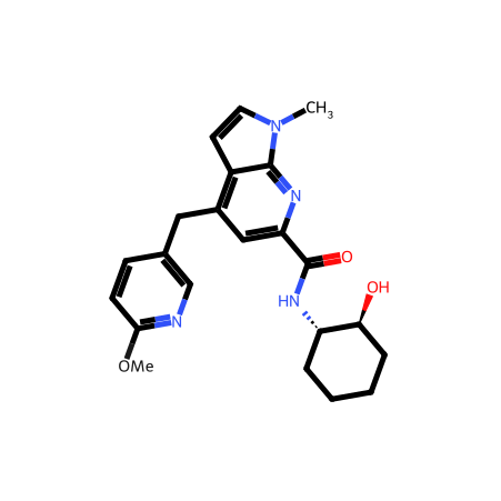 COc1ccc(Cc2cc(C(=O)N[C@H]3CCCC[C@@H]3O)nc3c2ccn3C)cn1